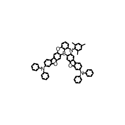 Cc1cc(C)c(N2c3cc4c(cc3B3c5cc6oc7cc(N(c8ccccc8)c8ccccc8)ccc7c6cc5Oc5cccc2c53)oc2cc(N(c3ccccc3)c3ccccc3)ccc24)c(C)c1